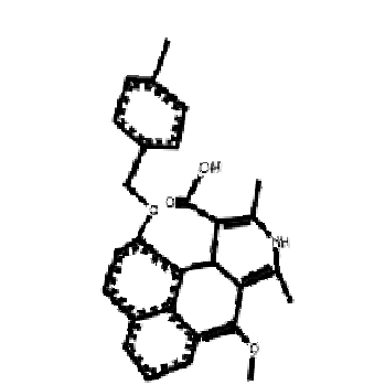 COC(=O)C1=C(C)NC(C)=C(C(=O)O)C1c1c(OCc2ccc(C)cc2)ccc2ccccc12